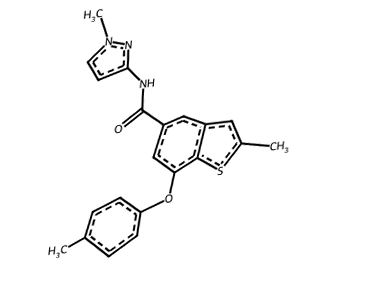 Cc1ccc(Oc2cc(C(=O)Nc3ccn(C)n3)cc3cc(C)sc23)cc1